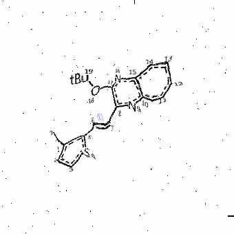 Cc1ccsc1/C=C/c1nc2ccccc2nc1OC(C)(C)C